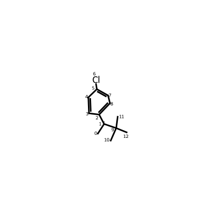 C[C](c1ccc(Cl)cc1)C(C)(C)C